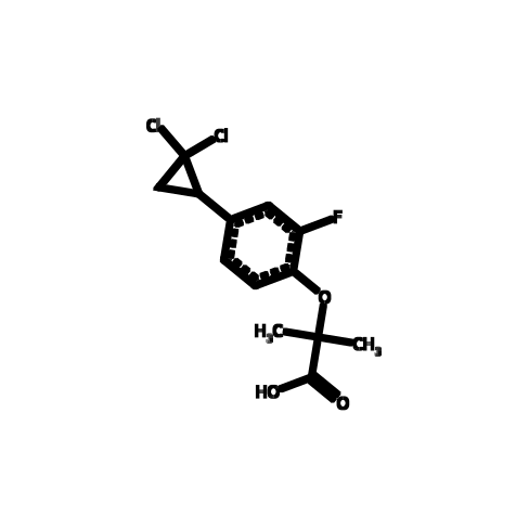 CC(C)(Oc1ccc(C2CC2(Cl)Cl)cc1F)C(=O)O